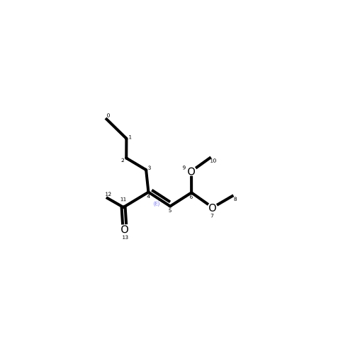 CCCC/C(=C\C(OC)OC)C(C)=O